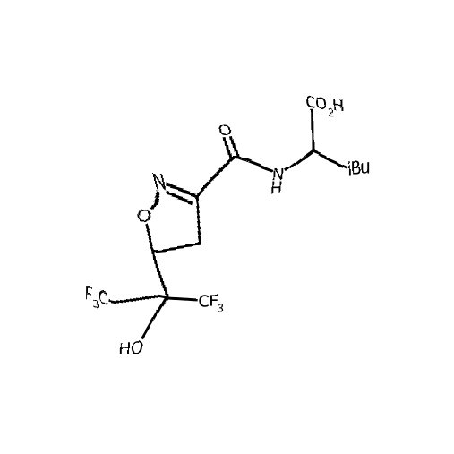 CCC(C)C(NC(=O)C1=NOC(C(O)(C(F)(F)F)C(F)(F)F)C1)C(=O)O